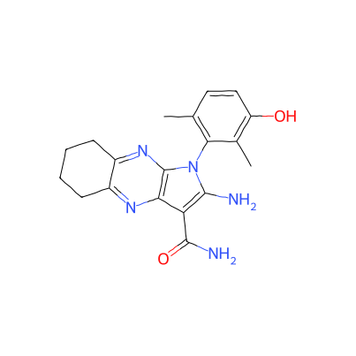 Cc1ccc(O)c(C)c1-n1c(N)c(C(N)=O)c2nc3c(nc21)CCCC3